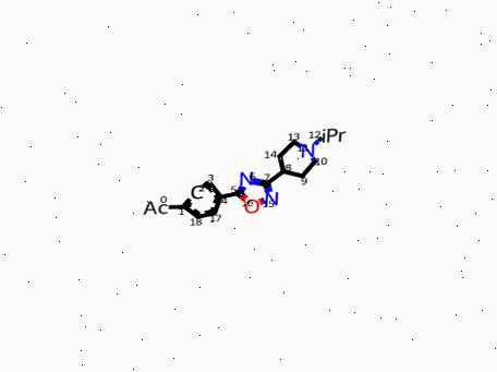 CC(=O)c1ccc(-c2nc(C3CCN(C(C)C)CC3)no2)cc1